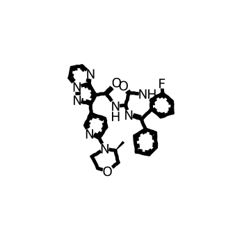 C[C@H]1COCCN1c1ccc(-c2nn3cccnc3c2C(=O)NC2N=C(c3ccccc3)c3cccc(F)c3NC2=O)cn1